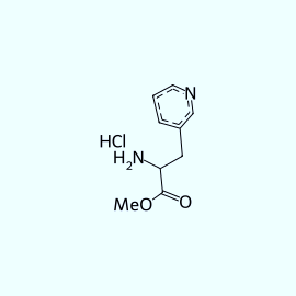 COC(=O)C(N)Cc1cccnc1.Cl